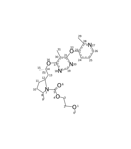 COCCOC(=O)N1C(C)CCC1C[C@H](C)Oc1ncnc(Oc2cccnc2C)c1C